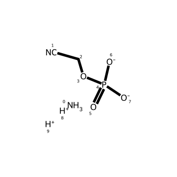 N.N#CCOP(=O)([O-])[O-].[H+].[H+]